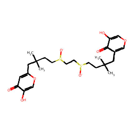 CC(C)(CC[S+]([O-])CC[S+]([O-])CCC(C)(C)Cc1cocc(O)c1=O)Cc1cc(=O)c(O)co1